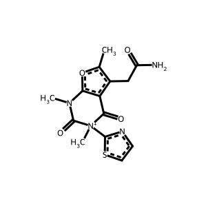 Cc1oc2c(c1CC(N)=O)C(=O)[N+](C)(c1nccs1)C(=O)N2C